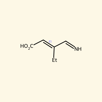 CC/C(C=N)=C\C(=O)O